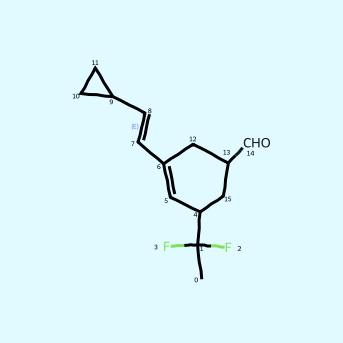 CC(F)(F)C1C=C(/C=C/C2CC2)CC(C=O)C1